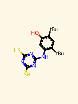 CC(C)(C)c1cc(C(C)(C)C)c(Nc2nc(S)nc(S)n2)cc1O